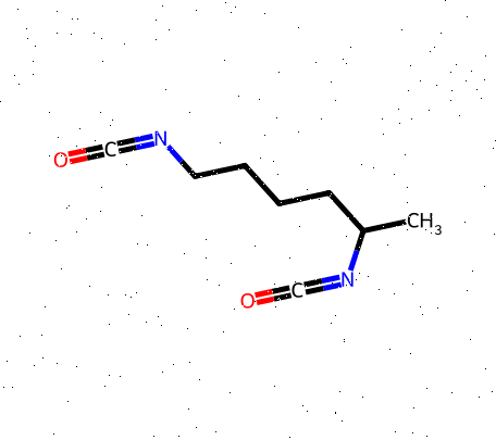 CC(CCCCN=C=O)N=C=O